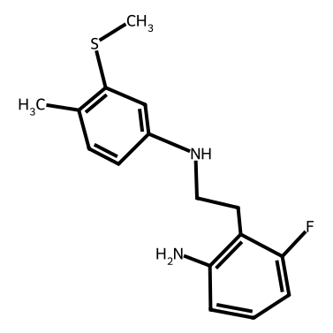 CSc1cc(NCCc2c(N)cccc2F)ccc1C